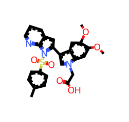 COc1cc2c(-c3cc4cccnc4n3S(=O)(=O)c3ccc(C)cc3)cn(CC(=O)O)c2cc1OC